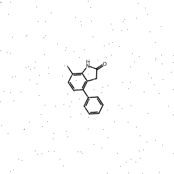 Cc1ccc(-c2ccccc2)c2c1NC(=O)C2